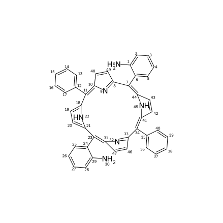 Nc1ccccc1-c1c2nc(c(-c3ccccc3)c3ccc([nH]3)c(-c3ccccc3N)c3nc(c(-c4ccccc4)c4ccc1[nH]4)C=C3)C=C2